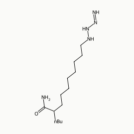 CCCCC(CCCCCCCCNNN=N)C(N)=O